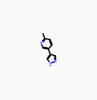 [CH2]c1ccc(-c2cn[nH]c2)cn1